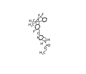 CCOC(=O)[C@H]1[C@@H]2Cc3cc(OCc4cc5c(cc4F)C(C)(C)OC5c4ccccc4C(F)(F)F)ncc3[C@@H]21